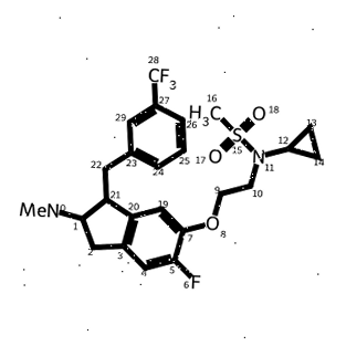 CNC1Cc2cc(F)c(OCCN(C3CC3)S(C)(=O)=O)cc2C1Cc1cccc(C(F)(F)F)c1